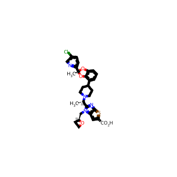 C[C@@H](c1nc2sc(C(=O)O)cc2n1C[C@@H]1CCO1)N1CCC(c2cccc3c2O[C@@](C)(c2ccc(Cl)cn2)O3)CC1